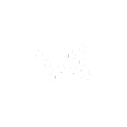 c1ccc(-c2ccc(-n3c4ccccc4c4cc(-c5ccc6c(c5)c5cc(-c7ccccc7-c7ccccc7)ccc5n6-c5ccccc5)ccc43)cc2)cc1